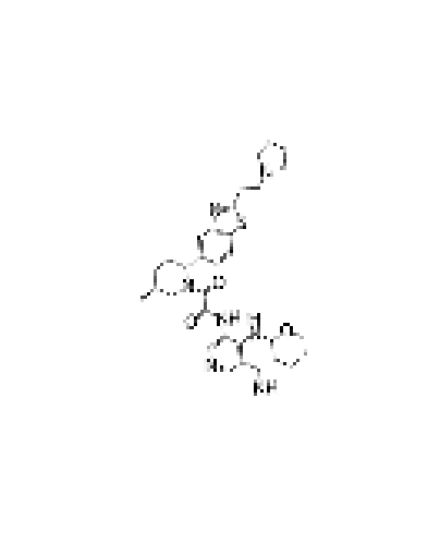 C[C@H]1CC[C@H](c2ccc3sc(CCN4CCCC4)nc3c2)N(C(=O)C(=O)Nc2cncc(C=N)c2NC2CCCCO2)C1